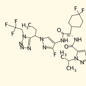 CCC(c1nnnn1CC(F)(F)F)n1cc(NC(=O)[C@@H](NC(=O)c2ccnn2C(C)C)C2CCC(F)(F)CC2)c(F)n1